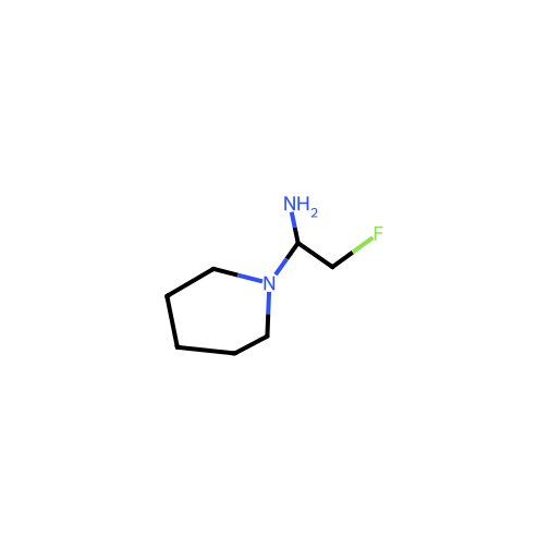 NC(CF)N1CCCCC1